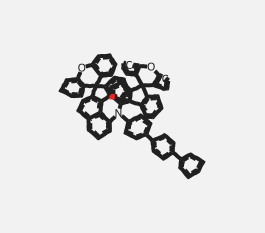 c1ccc(-c2ccc(-c3ccc(N(c4cccc5c4-c4ccccc4C54c5ccccc5Oc5ccccc54)c4cccc5ccc6c(c45)-c4ccccc4C64c5ccccc5Oc5ccccc54)cc3)cc2)cc1